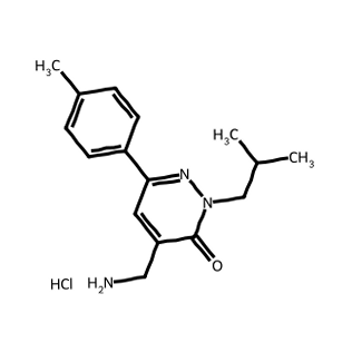 Cc1ccc(-c2cc(CN)c(=O)n(CC(C)C)n2)cc1.Cl